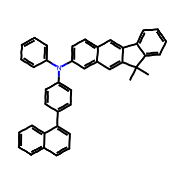 CC1(C)c2ccccc2-c2cc3ccc(N(c4ccccc4)c4ccc(-c5cccc6ccccc56)cc4)cc3cc21